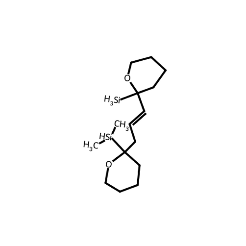 C[SiH](C)C1(CC=CC2([SiH3])CCCCO2)CCCCO1